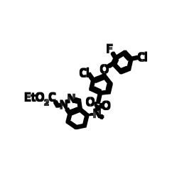 CCOC(=O)Cn1ncc2c1CCC[C@H]2N(C)S(=O)(=O)c1ccc(Oc2ccc(Cl)cc2F)c(Cl)c1